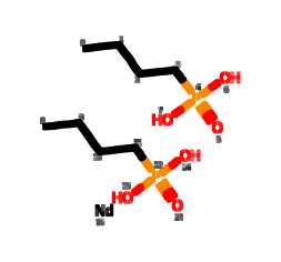 CCCCP(=O)(O)O.CCCCP(=O)(O)O.[Nd]